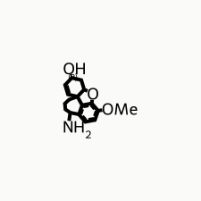 COc1ccc2c3c1OC1C[C@@H](O)C=CC31CCCC2N